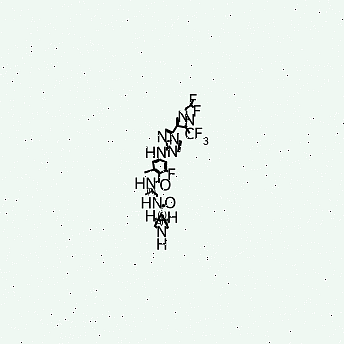 Cc1cc(Nc2nccn3c(-c4cn(CC(F)F)nc4C(F)(F)F)cnc23)cc(F)c1C(=O)N[C@H](C)CNC(=O)[C@@H]1[C@@H]2CNC[C@@H]21